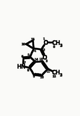 COC(=O)C1(c2c[nH]c3ccc(C)cc23)CC1